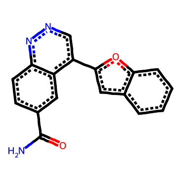 NC(=O)c1ccc2nncc(-c3cc4ccccc4o3)c2c1